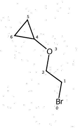 BrCCOC1CC1